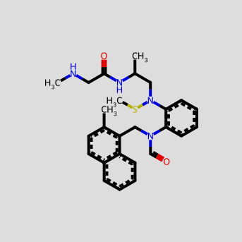 CNCC(=O)NC(C)CN(SC)c1ccccc1N(C=O)Cc1c(C)ccc2ccccc12